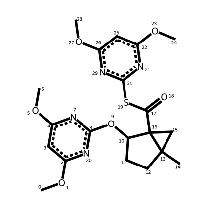 COc1cc(OC)nc(OC2CCC3(C)CC23C(=O)Sc2nc(OC)cc(OC)n2)n1